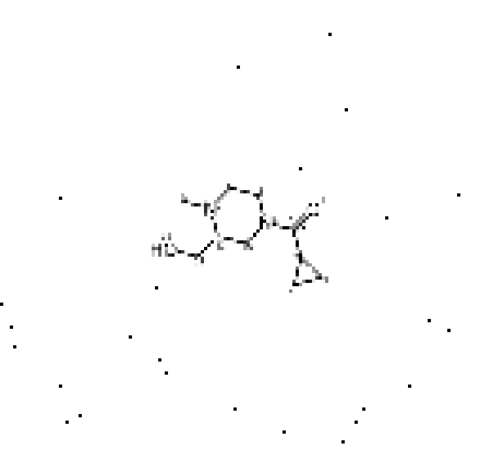 CN1CCN(C(=O)C2CC2)CC1CO